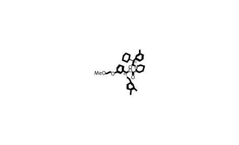 COCCOc1cccc([C@@H](CCc2ccc(C)c(C)c2)OC(=O)[C@@H]2CCCCN2C(=O)[C@H](c2cccc(C)c2)C2CCCCC2)c1